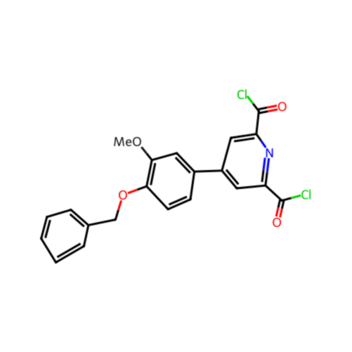 COc1cc(-c2cc(C(=O)Cl)nc(C(=O)Cl)c2)ccc1OCc1ccccc1